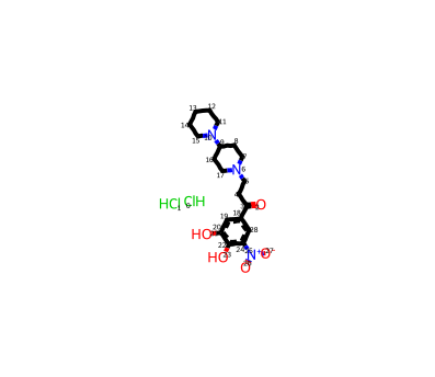 Cl.Cl.O=C(CCN1CCC(N2CCCCC2)CC1)c1cc(O)c(O)c([N+](=O)[O-])c1